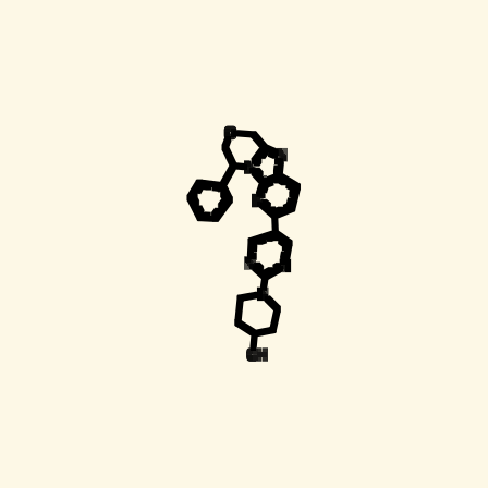 OC1CCN(c2ncc(-c3ccc4nc5n(c4n3)C(c3ccccc3)COC5)cn2)CC1